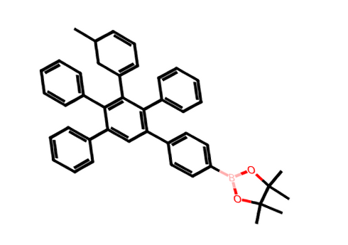 CC1C=CC=C(c2c(-c3ccccc3)c(-c3ccccc3)cc(-c3ccc(B4OC(C)(C)C(C)(C)O4)cc3)c2-c2ccccc2)C1